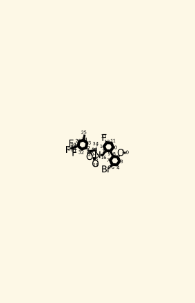 COc1ccc(Br)cc1-c1ccc(F)cc1CN1C(=O)O[C@H](c2cc(C)cc(C(F)(F)F)c2)[C@@H]1C